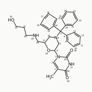 Cc1cn(C2CN(C(c3ccccc3)(c3ccccc3)c3ccccc3)CC(CNCCCO)O2)c(=O)[nH]c1=O